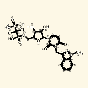 Cn1nc(Cn2c(=O)ccn(C3OC(COP(=O)(O)C(Cl)(Cl)P(=O)(O)O)C(O)C3O)c2=O)c2ccccc21